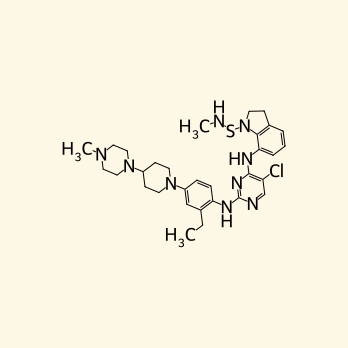 CCc1cc(N2CCC(N3CCN(C)CC3)CC2)ccc1Nc1ncc(Cl)c(Nc2cccc3c2N(SNC)CC3)n1